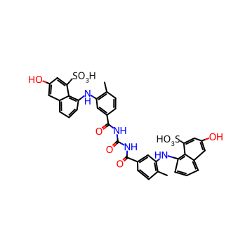 Cc1ccc(C(=O)NC(=O)NC(=O)c2ccc(C)c(Nc3cccc4cc(O)cc(S(=O)(=O)O)c34)c2)cc1Nc1cccc2cc(O)cc(S(=O)(=O)O)c12